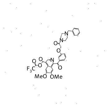 COc1cc2c(C(=O)OC(=O)C(F)(F)F)cnc(C(=O)c3cccc(OCC(=O)N4CCN(Cc5ccccc5)CC4)c3)c2cc1OC